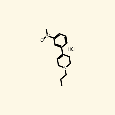 CCCN1CC=C(c2cccc([S+](C)[O-])c2)CC1.Cl